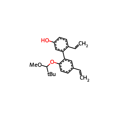 C=Cc1ccc(OC(OC)C(C)(C)C)c(-c2cc(O)ccc2C=C)c1